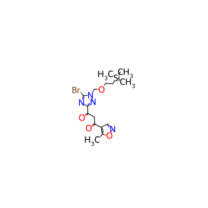 Cc1oncc1C(=O)CC(=O)c1nc(Br)n(COCC[Si](C)(C)C)n1